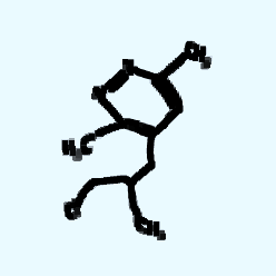 Cc1cc(CC(C)CCl)c(C)nn1